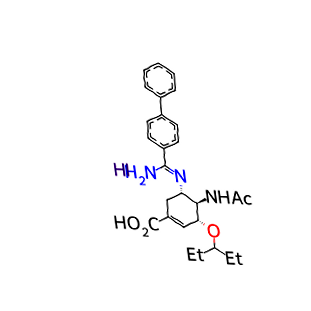 CCC(CC)O[C@@H]1C=C(C(=O)O)C[C@H](/N=C(\N)c2ccc(-c3ccccc3)cc2)[C@H]1NC(C)=O.I